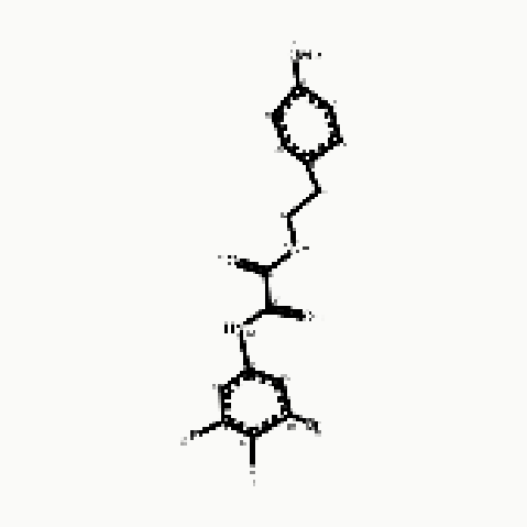 COc1ccc(CCNC(=O)C(=O)Nc2cc(F)c(F)c(Br)c2)cc1